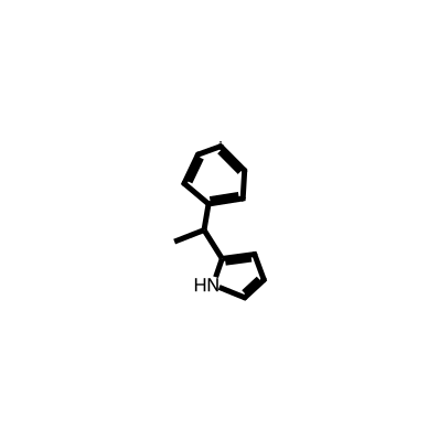 CC(c1cc[c]cc1)c1ccc[nH]1